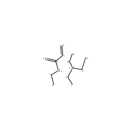 C=CC(=O)OCC.CCN(CC)CC